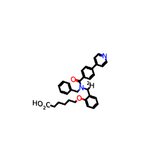 [2H]C(c1ccccc1OCCCCCC(=O)O)N(Cc1ccccc1)C(=O)c1ccc(-c2ccncc2)cc1